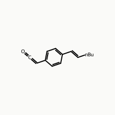 CCCCC=Cc1ccc(C=C=O)cc1